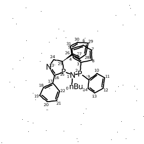 CCCCN(P(c1ccccc1)c1ccccc1)P1C(c2ccccc2)=NC[C@H]1c1ccccc1